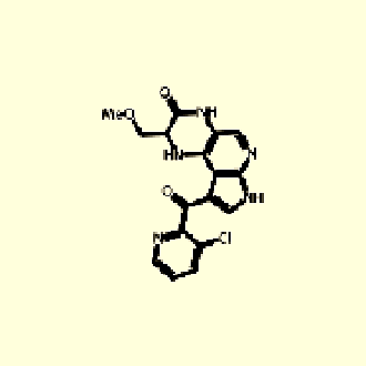 COCC1Nc2c(cnc3[nH]cc(C(=O)c4ncccc4Cl)c23)NC1=O